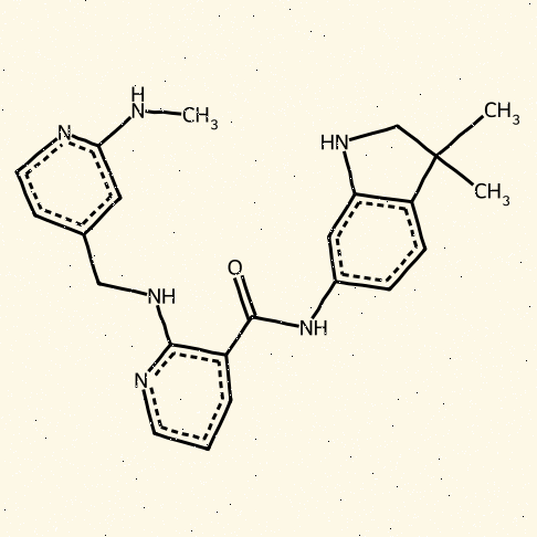 CNc1cc(CNc2ncccc2C(=O)Nc2ccc3c(c2)NCC3(C)C)ccn1